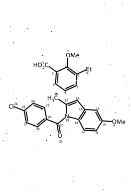 CCc1cccc(C(=O)O)c1OC.COc1ccc2c(c1)cc(C)n2C(=O)c1ccc(Cl)cc1